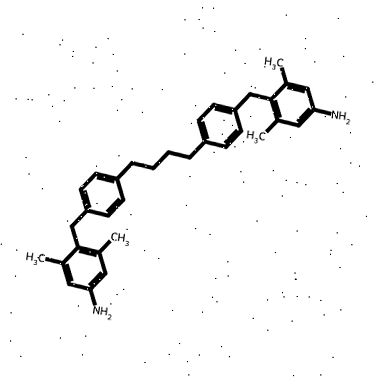 Cc1cc(N)cc(C)c1Cc1ccc(CCCCc2ccc(Cc3c(C)cc(N)cc3C)cc2)cc1